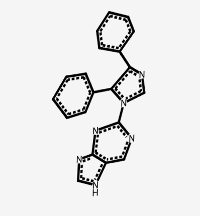 c1ccc(-c2ncn(-c3ncc4[nH]cnc4n3)c2-c2ccccc2)cc1